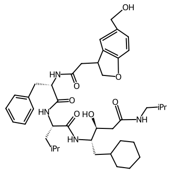 CC(C)CNC(=O)C[C@H](O)[C@H](CC1CCCCC1)NC(=O)[C@H](CC(C)C)NC(=O)[C@H](Cc1ccccc1)NC(=O)CC1COc2ccc(CO)cc21